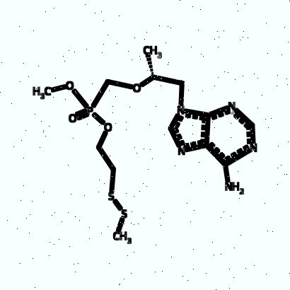 COP(=O)(CO[C@H](C)Cn1cnc2c(N)ncnc21)OCCSSC